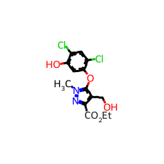 CCOC(=O)c1nn(C)c(Oc2cc(O)c(Cl)cc2Cl)c1CO